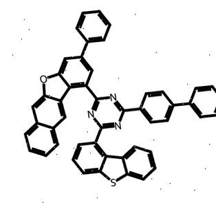 c1ccc(-c2ccc(-c3nc(-c4cc(-c5ccccc5)cc5oc6cc7ccccc7cc6c45)nc(-c4cccc5sc6ccccc6c45)n3)cc2)cc1